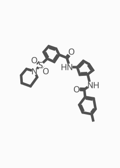 Cc1ccc(C(=O)Nc2cccc(NC(=O)c3cccc(S(=O)(=O)N4CCCCC4)c3)c2)cc1